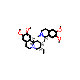 CC[C@H]1CN2CCc3cc(OC)c(OC)cc3[C@@H]2C[C@@H]1C[C@@H]1c2cc(OC)c(OC)cc2CCN1C